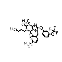 Cn1c(=O)n(CCCO)c(=O)c2c1nc(Oc1cccc(OC(F)(F)F)c1)n2Cc1ccc(N)nc1